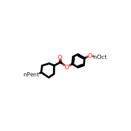 CCCCCCCCOc1ccc(OC(=O)C2CCC(CCCCC)CC2)cc1